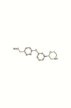 COCc1ccc(Oc2cccc([C@@H]3CNCCO3)c2)nn1